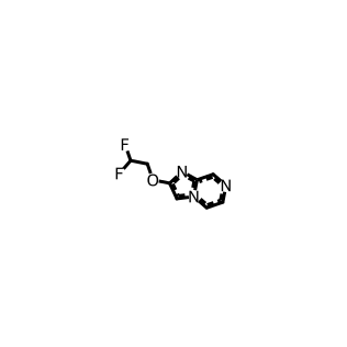 FC(F)COc1cn2ccncc2n1